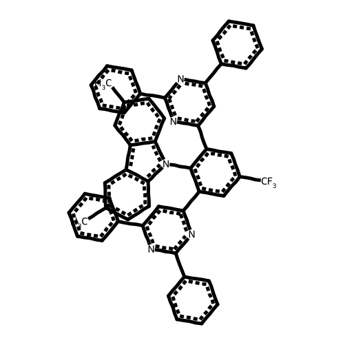 Cc1ccc2c(c1)c1cc(C)ccc1n2-c1c(-c2cc(-c3ccccc3)nc(-c3ccccc3)n2)cc(C(F)(F)F)cc1-c1cc(-c2ccccc2)nc(-c2ccccc2)n1